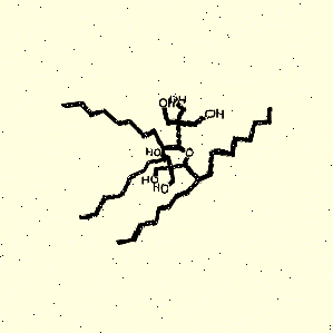 CCCCCCCCC(CCCCCCCC)C(OC(C(CCCCCCCC)CCCCCCCC)C(CO)(CO)CO)C(CO)(CO)CO